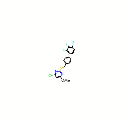 COc1cc(Cl)nc(SCc2ccc(-c3ccc(F)c(F)c3F)cc2)n1